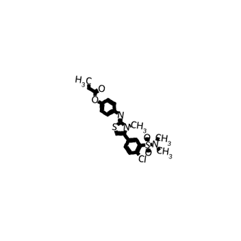 CCC(=O)Oc1ccc(/N=c2\scc(-c3ccc(Cl)c(S(=O)(=O)N(C)C)c3)n2C)cc1